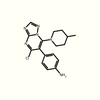 CC1CCN(c2c(-c3ccc(N)cc3)c(Cl)nc3ncnn23)CC1